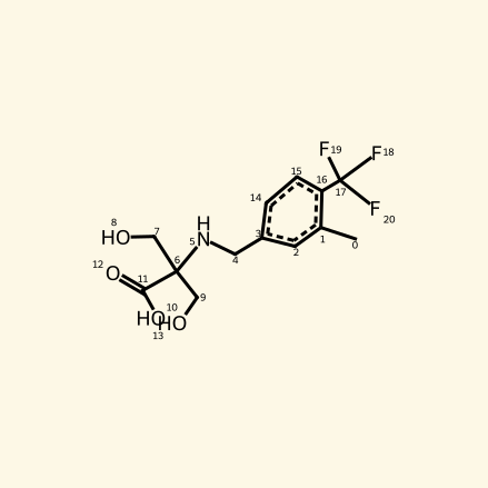 Cc1cc(CNC(CO)(CO)C(=O)O)ccc1C(F)(F)F